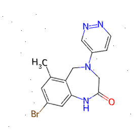 Cc1cc(Br)cc2c1CN(c1ccnnc1)CC(=O)N2